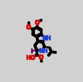 COc1cc2[nH]c3c(c2cc1OC)C[C@](I)(C(O)OC)N[C@H]3CC(C)C